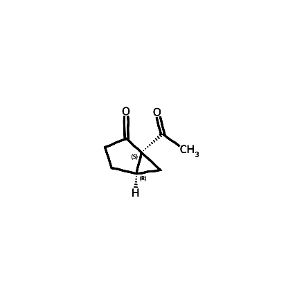 CC(=O)[C@]12C[C@H]1CCC2=O